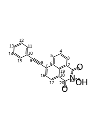 O=C1c2cccc3c(C#Cc4ccccc4)ccc(c23)C(=O)N1O